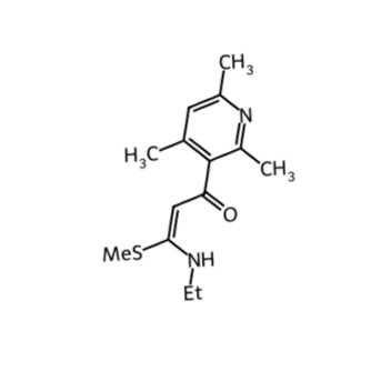 CCNC(=CC(=O)c1c(C)cc(C)nc1C)SC